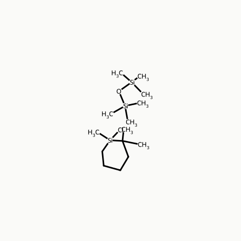 CC1(C)CCCC[Si]1(C)Cl.C[Si](C)(C)O[Si](C)(C)C